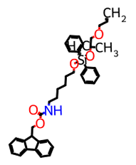 C=CCOCC(C)(C)O[Si](OCCCCCCNC(=O)OCC1c2ccccc2-c2ccccc21)(c1ccccc1)c1ccccc1